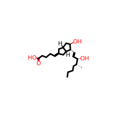 CCCC[C@@H](C)[C@@H](O)C=C[C@@H]1[C@H]2CC(=CCCCC(=O)O)C[C@@H]2C[C@H]1O